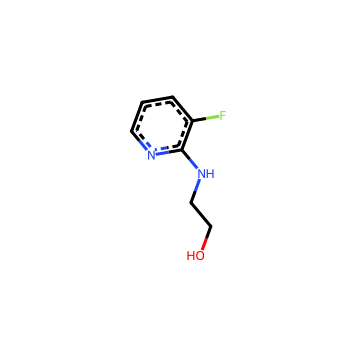 OCCNc1ncccc1F